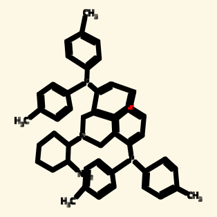 Cc1ccc(P(c2ccc(C)cc2)c2ccccc2CN(Cc2ccccc2P(c2ccc(C)cc2)c2ccc(C)cc2)C2CCCCC2N)cc1